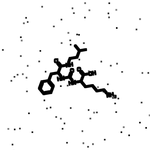 CC(C)CCNC(=O)C(Cc1ccccc1)NC(=O)NC(CCCCN)C(=O)O